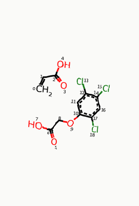 C=CC(=O)O.O=C(O)COc1cc(Cl)c(Cl)cc1Cl